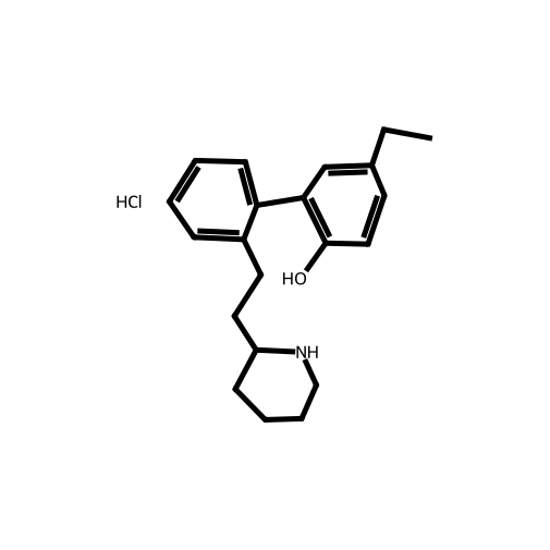 CCc1ccc(O)c(-c2ccccc2CCC2CCCCN2)c1.Cl